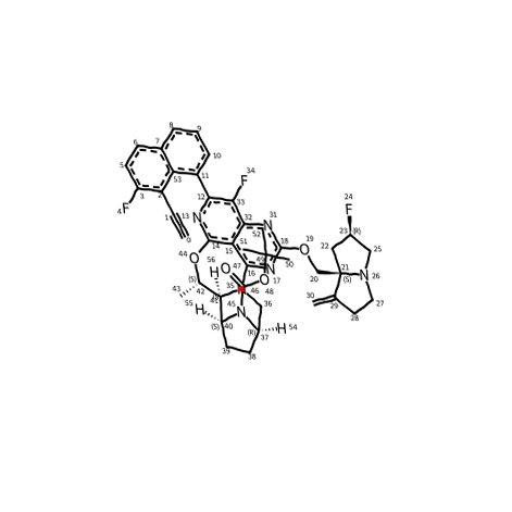 C#Cc1c(F)ccc2cccc(-c3nc4c5c(nc(OC[C@@]67C[C@@H](F)CN6CCC7=C)nc5c3F)N3C[C@H]5CC[C@@H]([C@H]3[C@H](C)O4)N5C(=O)OC(C)(C)C)c12